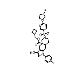 O=C(OCC1CCC1)C12Cc3c(O)nn(-c4ccc(F)cc4)c3C=C1CCN(S(=O)(=O)c1ccc(N3CC[C@@H](F)C3)nc1)C2